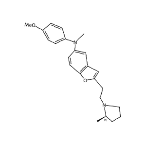 COc1ccc(N(C)c2ccc3oc(CCN4CCC[C@H]4C)cc3c2)cc1